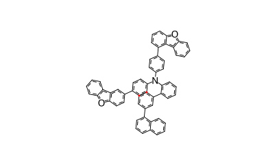 c1cc(-c2ccccc2N(c2ccc(-c3ccc4oc5ccccc5c4c3)cc2)c2ccc(-c3cccc4oc5ccccc5c34)cc2)cc(-c2cccc3ccccc23)c1